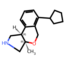 C[C@]12CNC[C@H]1c1cccc(C3CCCC3)c1CO2